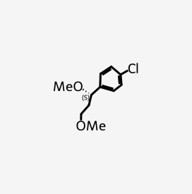 COCC[C@H](OC)c1ccc(Cl)cc1